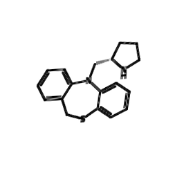 c1ccc2c(c1)CSc1ccccc1N2C[C@@H]1CCCN1